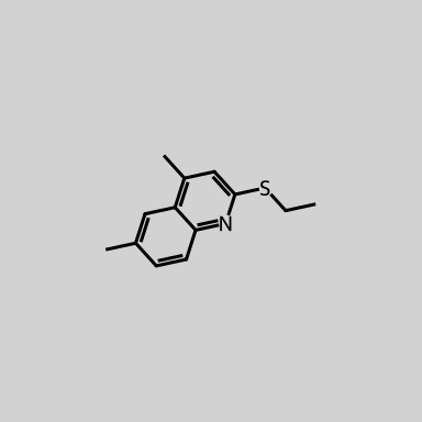 CCSc1cc(C)c2cc(C)ccc2n1